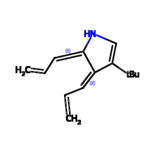 C=C/C=c1/c(C(C)(C)C)c[nH]/c1=C/C=C